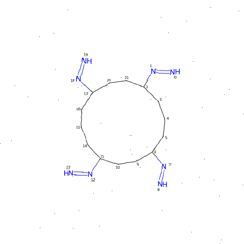 N=NC1CCCC(N=N)CCC(N=N)CCCC(N=N)CC1